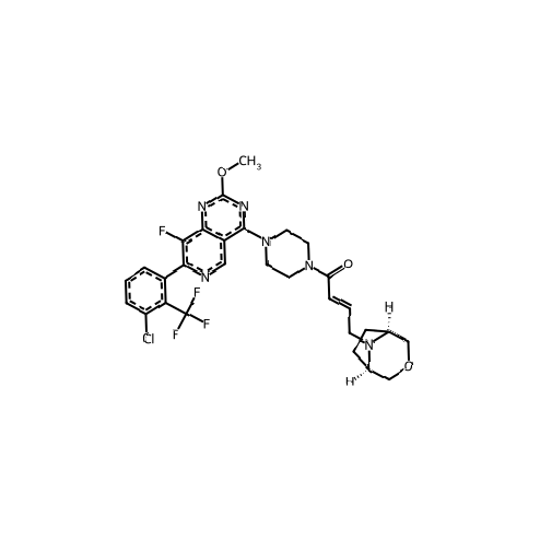 COc1nc(N2CCN(C(=O)/C=C/CN3[C@@H]4CC[C@H]3COC4)CC2)c2cnc(-c3cccc(Cl)c3C(F)(F)F)c(F)c2n1